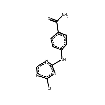 NC(=O)c1ccc(Nc2ncnc(Cl)n2)cc1